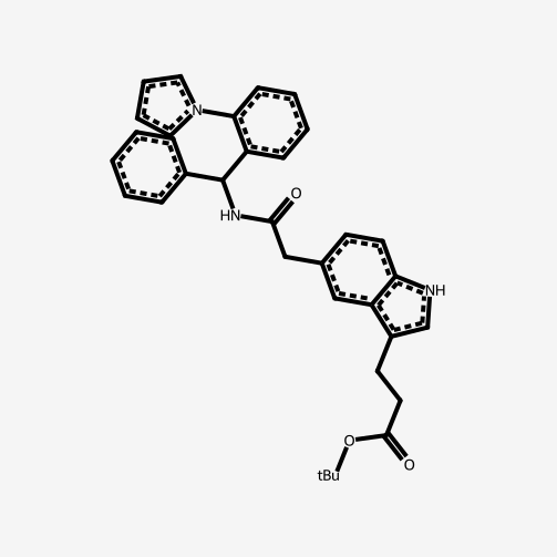 CC(C)(C)OC(=O)CCc1c[nH]c2ccc(CC(=O)NC(c3ccccc3)c3ccccc3-n3cccc3)cc12